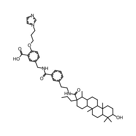 CCCC1(C(=O)NCCc2cccc(C(=O)NCc3ccc(OCCCn4ccnc4)c(C(=O)O)c3)c2)CCC2C(CCC3C2(C)CCC2C(C)(C)C(O)CCC23C)C1C